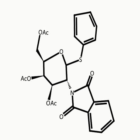 CC(=O)OC[C@H]1OC(Sc2ccccc2)[C@H](N2C(=O)c3ccccc3C2=O)[C@@H](OC(C)=O)[C@H]1OC(C)=O